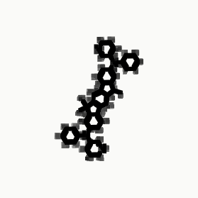 CC1c2cc(N(c3ccccc3)c3cccnc3)ccc2-c2cc3c(cc21)-c1ccc(N(c2ccccc2)c2cccnc2)cc1C3(C)C